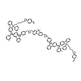 C=Cc1ccc(OCCCCCCC2(c3ccccc3)c3ccccc3-c3ccc(N(c4cccc(C)c4)c4ccc5c(c4)c4ccccc4n5-c4ccc(COCc5ccc6c(c5)C(C)(C)c5cc(COCc7ccc(-n8c9ccccc9c9cc(N(c%10cccc(C)c%10)c%10ccc%11c(c%10)C(CCCCCCOc%10ccc(C=C)cc%10)(c%10ccccc%10)c%10ccccc%10-%11)ccc98)cc7)ccc5-6)cc4)cc32)cc1